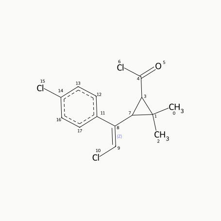 CC1(C)C(C(=O)Cl)C1/C(=C/Cl)c1ccc(Cl)cc1